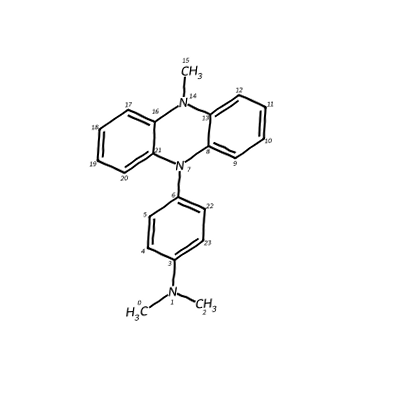 CN(C)c1ccc(N2c3ccccc3N(C)c3ccccc32)cc1